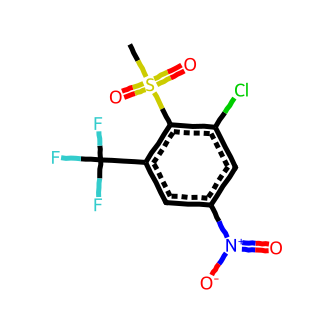 CS(=O)(=O)c1c(Cl)cc([N+](=O)[O-])cc1C(F)(F)F